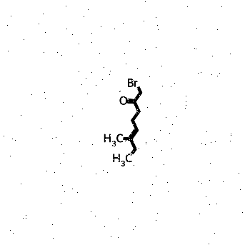 CC/C(C)=C/CCC(=O)CBr